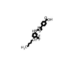 CCCCCOc1ccc(Nc2nc(-c3ccc(C(=O)O)cc3)cs2)cc1C(F)(F)F